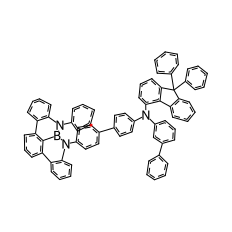 c1ccc(-c2cccc(N(c3ccc(-c4ccc(N5B6c7c(cccc7-c7ccccc75)-c5ccccc5N6c5ccccc5)cc4)cc3)c3cccc4c3-c3ccccc3C4(c3ccccc3)c3ccccc3)c2)cc1